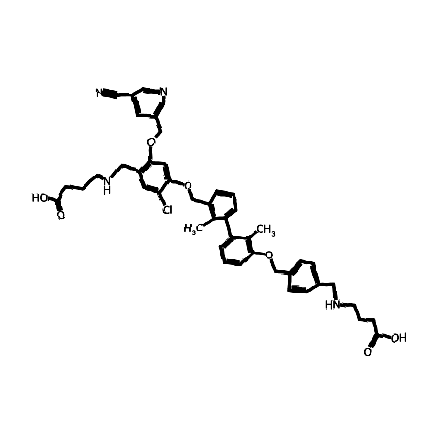 Cc1c(COc2cc(OCc3cncc(C#N)c3)c(CNCCCC(=O)O)cc2Cl)cccc1-c1cccc(OCc2ccc(CNCCCC(=O)O)cc2)c1C